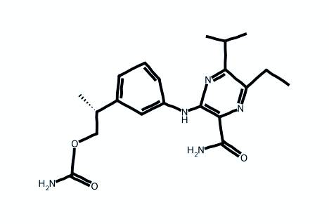 CCc1nc(C(N)=O)c(Nc2cccc([C@@H](C)COC(N)=O)c2)nc1C(C)C